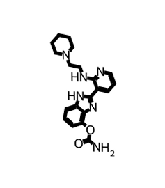 NC(=O)Oc1cccc2[nH]c(-c3cccnc3NCCN3CCCCC3)nc12